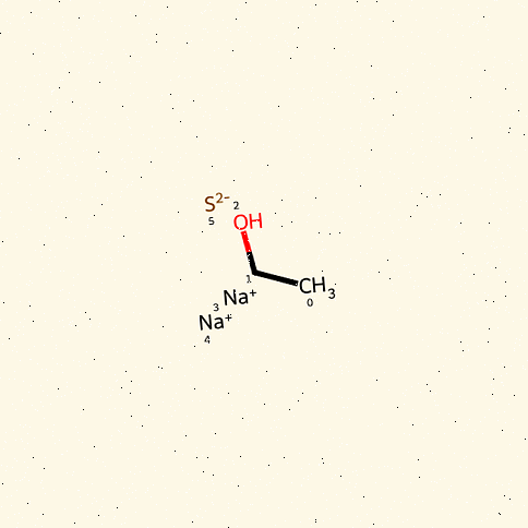 CCO.[Na+].[Na+].[S-2]